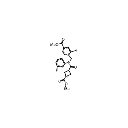 COC(=O)c1ccc(CN(C(=O)C2CN(C(=O)OC(C)(C)C)C2)c2cccc(F)c2)c(F)c1